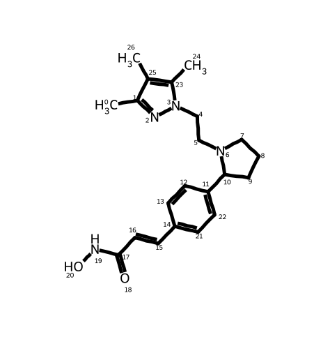 Cc1nn(CCN2CCCC2c2ccc(C=CC(=O)NO)cc2)c(C)c1C